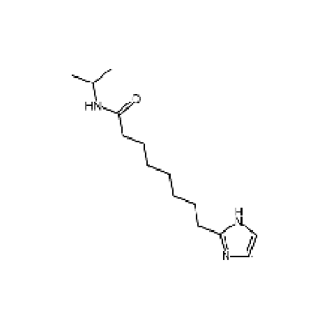 CC(C)NC(=O)CCCCCCCc1n[c]c[nH]1